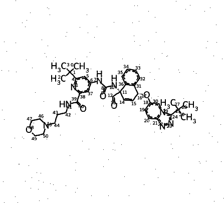 CC(C)(C)c1cc(NC(=O)N[C@@]2(C=O)C=C[C@@H](Oc3ccc4nnc(C(C)(C)C)n4c3)c3ccccc32)cc(C(=O)NCCCN2CCOCC2)n1